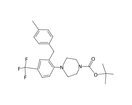 Cc1ccc(Cc2cc(C(F)(F)F)ccc2N2CCN(C(=O)OC(C)(C)C)CC2)cc1